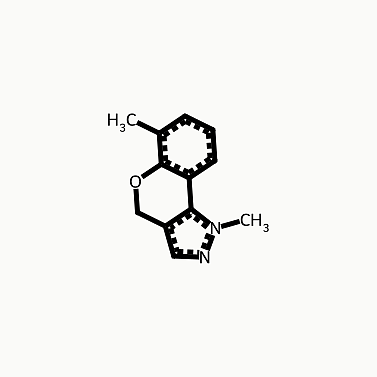 Cc1cccc2c1OCc1cnn(C)c1-2